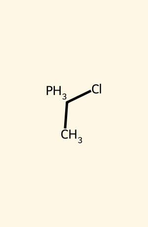 CCCl.P